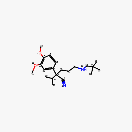 COc1ccc(C(C#N)(CCCNCC(C)(C)C)C(C)C)cc1OC